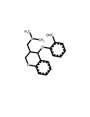 CN(C)CC1COc2ccccc2C1Oc1ccccc1C=O